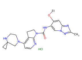 CCOc1cc2nc(C)nn2cc1NC(=O)N1CCc2c(N3CCNC4(CC4)C3)ccnc21.Cl